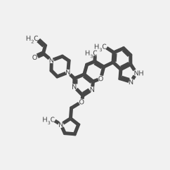 C=CC(=O)N1CCN(c2nc(OCC3CCCN3C)nc3c2CC(C)=C(c2c(C)ccc4[nH]ncc24)O3)CC1